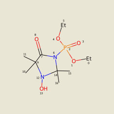 CCOP(=O)(OCC)N1C(=O)C(C)(C)N(O)C1(C)C